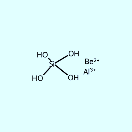 O[Si](O)(O)O.[Al+3].[Be+2]